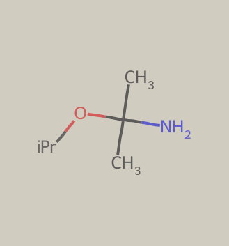 CC(C)OC(C)(C)N